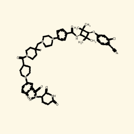 CC1(C)[C@H](NC(=O)c2ccc(N3CCN(CC4(F)CCN(C(=O)C5CCN(c6ccc7nnn(C8CCC(=O)NC8=O)c(=O)c7c6)CC5)CC4)CC3)cc2)C(C)(C)[C@H]1Oc1ccc(C#N)c(Cl)c1